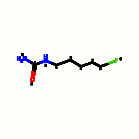 NC(=O)NCCCCCF